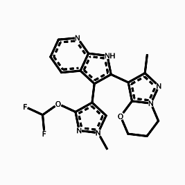 Cc1nn2c(c1-c1[nH]c3ncccc3c1-c1cn(C)nc1OC(F)F)OCCC2